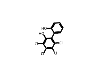 Oc1ccccc1-c1c(O)c(Cl)c(Cl)c(Cl)c1Cl